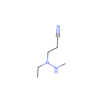 CCN(CCC#N)NC